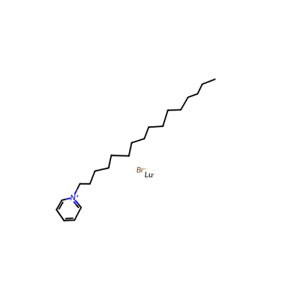 CCCCCCCCCCCCCCCC[n+]1ccccc1.[Br-].[Lu]